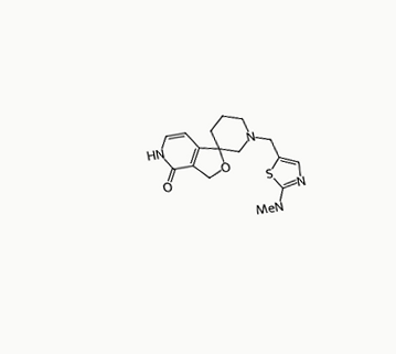 CNc1ncc(CN2CCCC3(C2)OCc2c3cc[nH]c2=O)s1